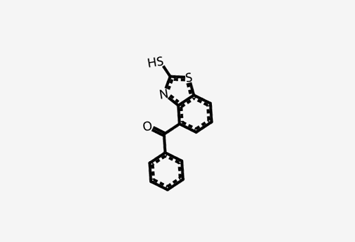 O=C(c1ccccc1)c1cccc2sc(S)nc12